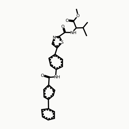 COC(=O)C(NC(=O)c1ncc(-c2ccc(NC(=O)c3ccc(-c4ccccc4)cc3)cc2)s1)C(C)C